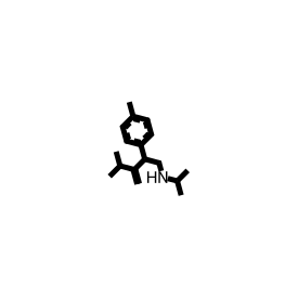 C=C(C(C)C)C(CNC(C)C)c1ccc(C)cc1